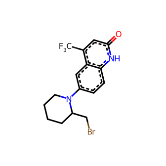 O=c1cc(C(F)(F)F)c2cc(N3CCCCC3CBr)ccc2[nH]1